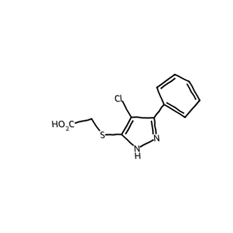 O=C(O)CSc1[nH]nc(-c2ccccc2)c1Cl